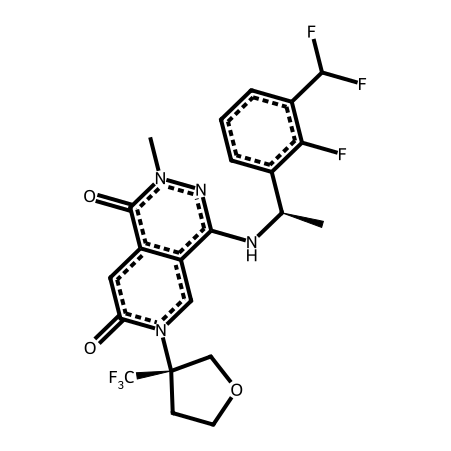 C[C@@H](Nc1nn(C)c(=O)c2cc(=O)n([C@@]3(C(F)(F)F)CCOC3)cc12)c1cccc(C(F)F)c1F